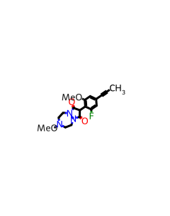 CC#Cc1cc(F)c(C2C(=O)N3CCN(OC)CCN3C2=O)c(OC)c1